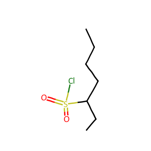 CCCCC(CC)S(=O)(=O)Cl